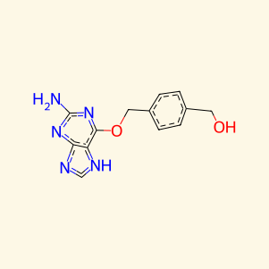 Nc1nc(OCc2ccc(CO)cc2)c2[nH]cnc2n1